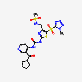 Cn1nnnc1S(=O)(=O)c1sc(NC(=O)Nc2ccncc2C(=O)C2CCCC2)nc1CNS(C)(=O)=O